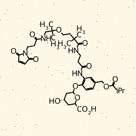 CC(C)C(=O)OCc1ccc(OC2C[C@@H](O)CC(C(=O)O)O2)c(NC(=O)CCNC(=O)C(C)(C)CCOC(C)(C)CNC(=O)CCN2C(=O)C=CC2=O)c1